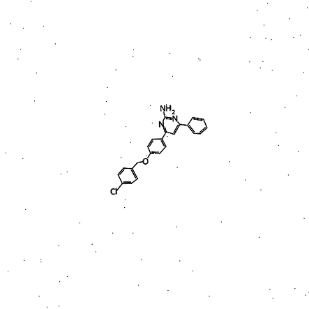 Nc1nc(-c2ccccc2)cc(-c2ccc(OCc3ccc(Cl)cc3)cc2)n1